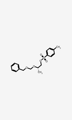 Cc1ccc(S(=O)(=O)OC[C@H](C)OCOCc2ccccc2)cc1